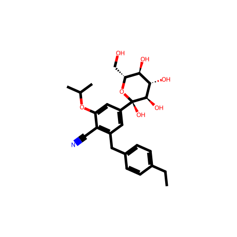 CCc1ccc(Cc2cc([C@]3(O)O[C@H](CO)[C@@H](O)[C@H](O)[C@H]3O)cc(OC(C)C)c2C#N)cc1